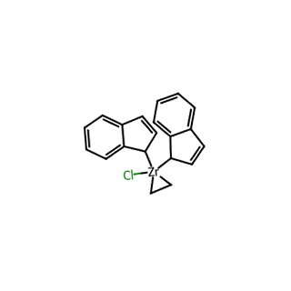 [Cl][Zr]1([CH]2C=Cc3ccccc32)([CH]2C=Cc3ccccc32)[CH2][CH2]1